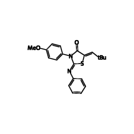 COc1ccc(N2C(=O)C(=CC(C)(C)C)SC2=Nc2ccccc2)cc1